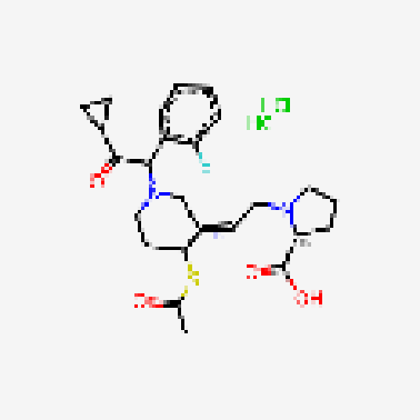 CC(=O)SC1CCN(C(C(=O)C2CC2)c2ccccc2F)C/C1=C\CN1CCC[C@H]1C(=O)O.Cl.Cl